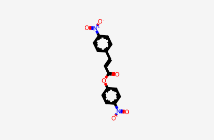 O=C(C=Cc1ccc([N+](=O)[O-])cc1)Oc1ccc([N+](=O)[O-])cc1